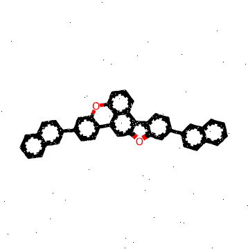 c1ccc2cc(-c3ccc4c(c3)Oc3cccc5c3c-4cc3oc4cc(-c6ccc7ccccc7c6)ccc4c35)ccc2c1